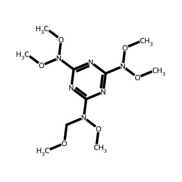 COCN(OC)c1nc(N(OC)OC)nc(N(OC)OC)n1